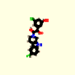 O=C(C(O)c1cc(O)cc(Cl)c1)N1CCc2c([nH]c3ccc(Cl)cc23)C1